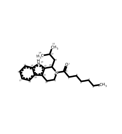 CCCCCCC(=O)N1CCc2c([nH]c3ccccc23)C1CC(C)C